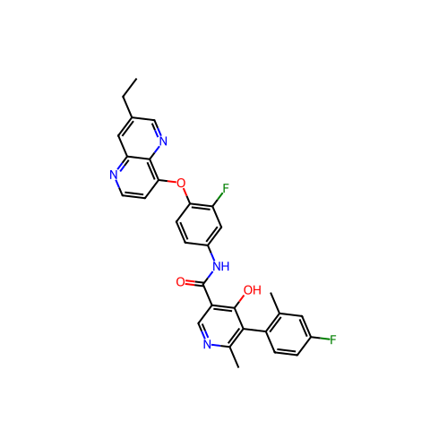 CCc1cnc2c(Oc3ccc(NC(=O)c4cnc(C)c(-c5ccc(F)cc5C)c4O)cc3F)ccnc2c1